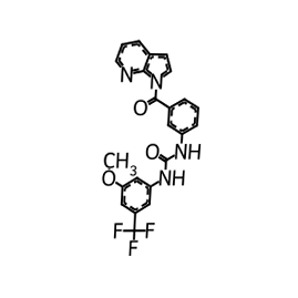 COc1cc(NC(=O)Nc2cccc(C(=O)n3ccc4cccnc43)c2)cc(C(F)(F)F)c1